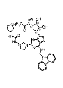 CCCN(C(=O)C(F)(F)F)[C@H]1C[C@@H](n2cnc3c(NCC4c5ccccc5-c5ccccc54)nc(N4CC[C@@H](NC(=O)NC5CCNC5)C4)nc32)[C@H](O)[C@@H]1O